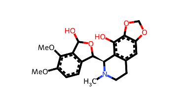 COc1ccc2c(c1OC)C(O)OC2[C@H]1c2c(cc3c(c2O)OCO3)CCN1C